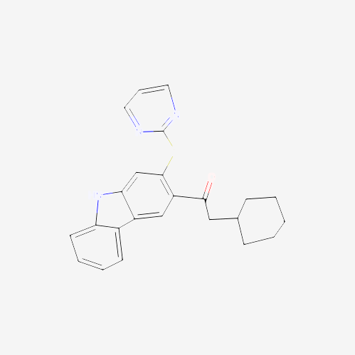 O=C(CC1CCCCC1)c1cc2c(cc1Sc1ncccn1)[nH]c1ccccc12